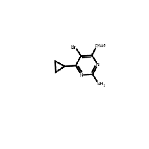 COc1nc(N)nc(C2CC2)c1Br